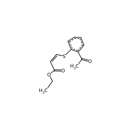 CCOC(=O)/C=C\Sc1ccccc1C(C)=O